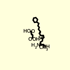 CC(N)(CO)CCc1ccc(C=CCCCCC2CCCCC2)s1.O=C(O)C=CC(=O)O